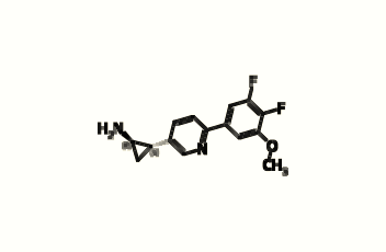 COc1cc(-c2ccc([C@@H]3C[C@H]3N)cn2)cc(F)c1F